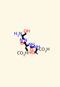 C[C@@H](O)[C@H](NC(=O)N[C@@H](CCC(=O)O)c1nc([C@@H](N)CO)no1)C(=O)O